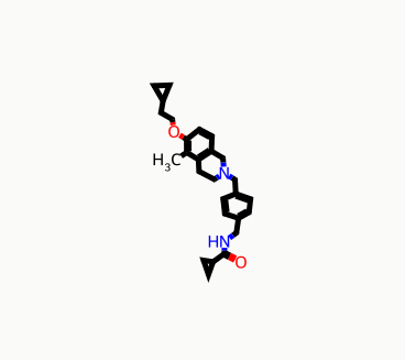 Cc1c(OCCC2CC2)ccc2c1CCN(Cc1ccc(CNC(=O)C3CC3)cc1)C2